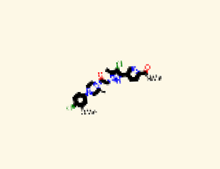 CNC(=O)c1ccc(-c2nn(CC(=O)N3CCN(c4ccc(Cl)c(OC)c4)C[C@@H]3C)c(C)c2Cl)cn1